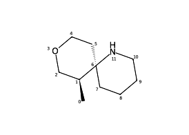 C[C@H]1COCC[C@]12CCCCN2